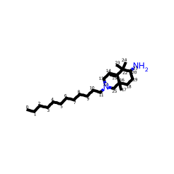 CCCCCCCCCCCCN1CC=C2C(C)(CCC(N)C2(C)C)C1